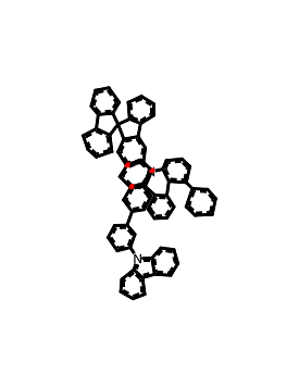 c1ccc(-c2ccccc2-c2c(-c3ccccc3)cccc2N(c2ccc(-c3cccc(-n4c5ccccc5c5ccccc54)c3)cc2)c2ccc3c(c2)-c2ccccc2C32c3ccccc3-c3ccccc32)cc1